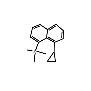 [CH3][Sn]([CH3])([CH3])[c]1cccc2cccc(C3CC3)c12